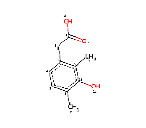 Cc1ccc(CC(=O)O)c(C)c1O